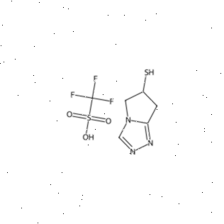 O=S(=O)(O)C(F)(F)F.SC1Cc2nncn2C1